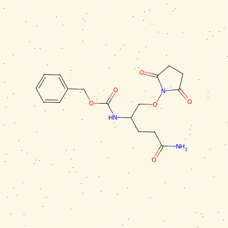 NC(=O)CCC(CON1C(=O)CCC1=O)NC(=O)OCc1ccccc1